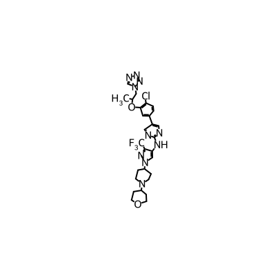 CC(Cn1cnnn1)Oc1cc(-c2cnc(Nc3cn(C4CCN(C5CCOCC5)CC4)nc3C(F)(F)F)nc2)ccc1Cl